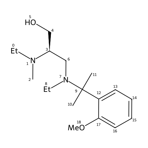 CCN(C)[C@@H](CO)CN(CC)C(C)(C)c1ccccc1OC